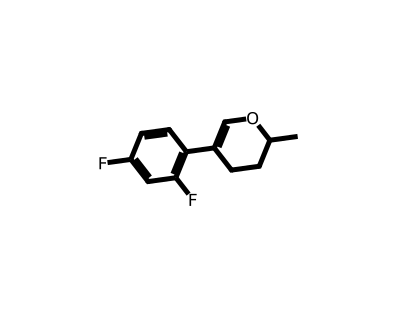 CC1CCC(c2ccc(F)cc2F)=CO1